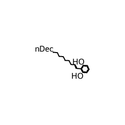 CCCCCCCCCCCCCCCCCC=Cc1c(O)cccc1O